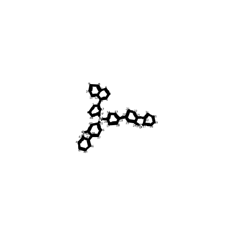 c1cc(-c2cccc3ccccc23)cc(N(c2ccc(-c3ccc4c(c3)sc3ccccc34)cc2)c2ccc3c(c2)sc2ccccc23)c1